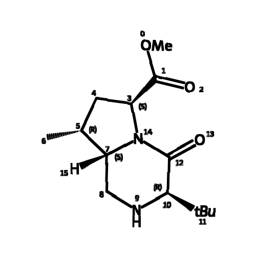 COC(=O)[C@@H]1C[C@@H](C)[C@H]2CN[C@H](C(C)(C)C)C(=O)N21